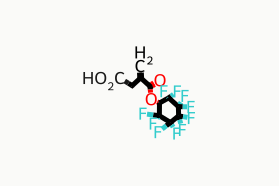 C=C(CC(=O)O)C(=O)OC1C(F)(F)C(F)(F)C(F)(F)C(F)(F)C1(F)F